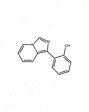 Oc1ccccc1-c1ncn2ccccc12